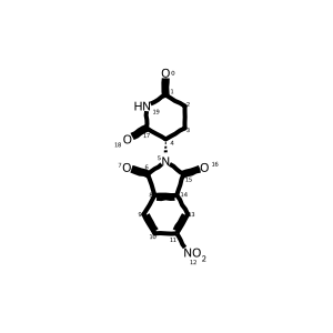 O=C1CC[C@H](N2C(=O)c3ccc([N+](=O)[O-])cc3C2=O)C(=O)N1